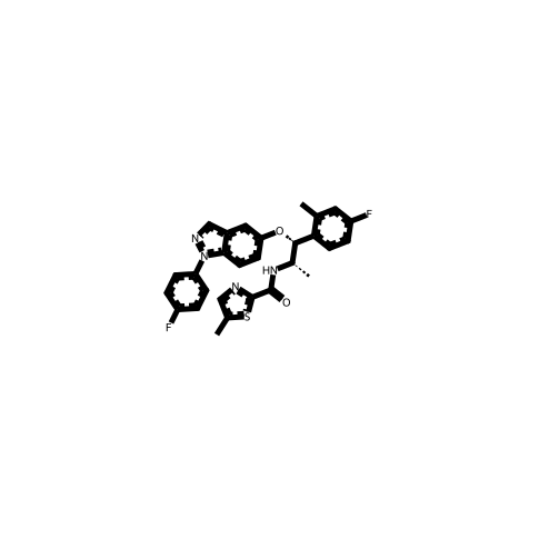 Cc1cnc(C(=O)N[C@@H](C)[C@H](Oc2ccc3c(cnn3-c3ccc(F)cc3)c2)c2ccc(F)cc2C)s1